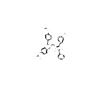 CCCCn1c(-c2ccccc2)nc(-c2ccc(OCC)cc2)c1CN(Cc1ccc(OC(F)F)cc1)Cc1ccc(OC(F)F)cc1